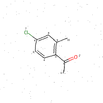 [CH2]C(=O)c1ccc(Cl)cc1C